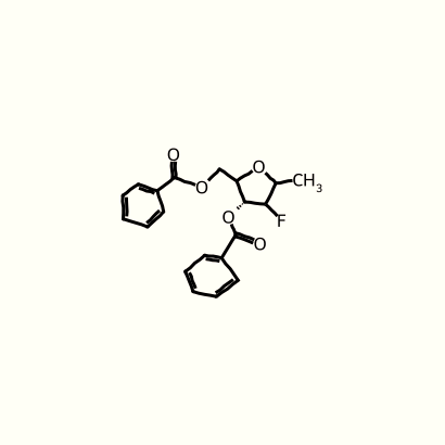 CC1OC(COC(=O)c2ccccc2)[C@@H](OC(=O)c2ccccc2)C1F